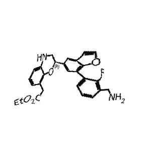 CCOC(=O)Cc1cccc2c1O[C@H](c1cc(-c3cccc(CN)c3F)c3occc3c1)CN2